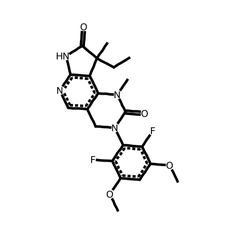 CCC1(C)C(=O)Nc2ncc3c(c21)N(C)C(=O)N(c1c(F)c(OC)cc(OC)c1F)C3